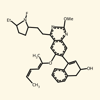 C/C=C\C=C(/C)Oc1cc2c(CCC3CCC(CC)N3F)nc(OC)nc2cc1C1=CC(O)Cc2ccccc21